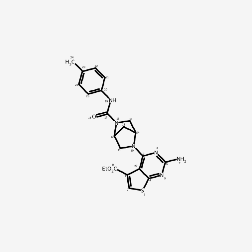 CCOC(=O)c1csc2nc(N)nc(N3CC4CC3CN4C(=O)Nc3ccc(C)cc3)c12